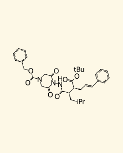 CC(C)C[C@@H](C(=O)NN1C(=O)CN(C(=O)OCc2ccccc2)CC1=O)[C@H](CC=Cc1ccccc1)C(=O)OC(C)(C)C